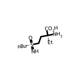 CCCC[S@](=N)(=O)CC[C@@](N)(CC)C(=O)O